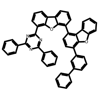 c1ccc(-c2cccc(-c3ccc(-c4cccc5c4oc4c(-c6nc(-c7ccccc7)nc(-c7ccccc7)n6)cccc45)c4c3oc3ccccc34)c2)cc1